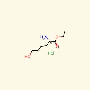 CCOC(=O)[C@@H](N)CCCCO.Cl